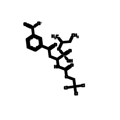 CCC(C)O[P@@](=O)(O)C(CC(=O)c1cccc([N+](=O)[O-])c1)NC(=O)OCC(Cl)(Cl)Cl